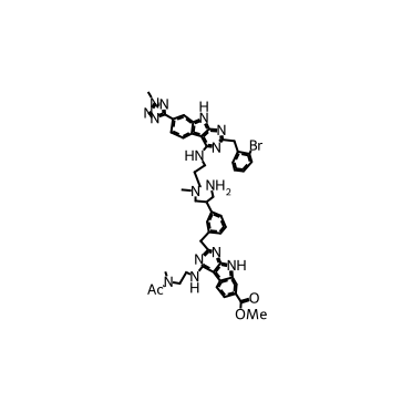 COC(=O)c1ccc2c(c1)[nH]c1nc(Cc3cccc(C(CN)CN(C)CCCNc4nc(Cc5ccccc5Br)nc5[nH]c6cc(-c7nnn(C)n7)ccc6c45)c3)nc(NCCN(C)C(C)=O)c12